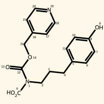 O=C(O)N(CCCc1ccc(O)cc1)C(=O)OCc1ccncc1